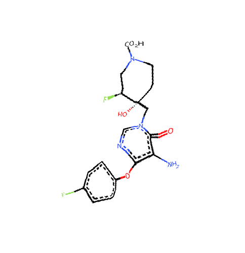 Nc1c(Oc2ccc(F)cc2)ncn(C[C@]2(O)CCN(C(=O)O)C[C@@H]2F)c1=O